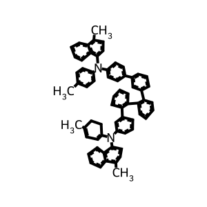 CC1=CC=C(N(c2cccc(-c3ccccc3-c3ccccc3-c3cccc(-c4ccc(N(c5ccc(C)cc5)c5ccc(C)c6ccccc56)cc4)c3)c2)c2ccc(C)c3ccccc23)CC1